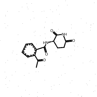 CC(=O)c1ccccc1C(=O)NC1CCC(=O)NC1=O